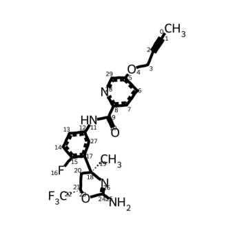 CC#CCOc1ccc(C(=O)Nc2ccc(F)c([C@]3(C)C[C@@H](C(F)(F)F)OC(N)=N3)c2)nc1